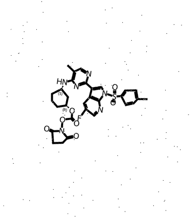 Cc1ccc(S(=O)(=O)n2cc(-c3ncc(C)c(N[C@H]4CCC[C@@H](OC(=O)ON5C(=O)CCC5=O)C4)n3)c3cc(F)cnc32)cc1